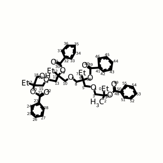 CCC(C)(COCC(CC)(COCC(CC)(COCC(CC)(CO)OC(=O)c1ccccc1)OC(=O)c1ccccc1)OC(=O)c1ccccc1)OC(=O)c1ccccc1